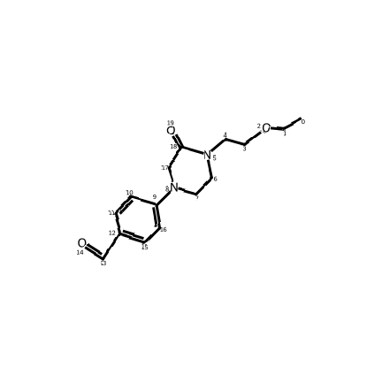 CCOCCN1CCN(c2ccc(C=O)cc2)CC1=O